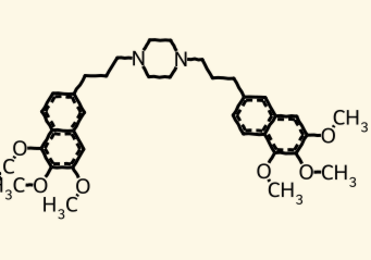 COc1cc2cc(CCCN3CCN(CCCc4ccc5c(OC)c(OC)c(OC)cc5c4)CC3)ccc2c(OC)c1OC